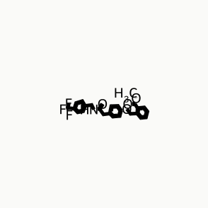 COC(=O)c1ccccc1COc1ccc(CC(=O)NCc2ccc(C(F)(F)F)cc2)cc1